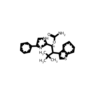 CC(C)(C)C(c1csc2ccccc12)[C@@H](OC(N)=O)c1nc(-c2ccccc2)c[nH]1